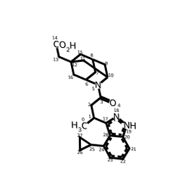 CC(CC(=O)N1C2CC3CC1CC(CC(=O)O)(C3)C2)c1n[nH]c2cccc(C3CC3)c12